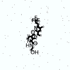 Cc1cc(C(C)N2Cc3c(ccnc3C(=O)NCCO)C2=O)cnc1CCC(F)(F)F